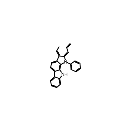 C=C/C=c1\c(=C/C)c2ccc3c4ccccc4[nH]c3c2n1-c1ccccc1